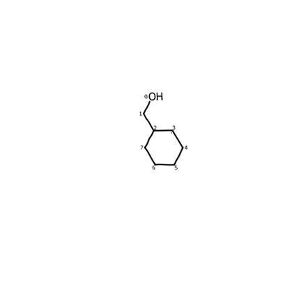 OCC1[C]CCCC1